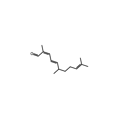 CC(C)=CCCC(C)C=CC=C(C)C=O